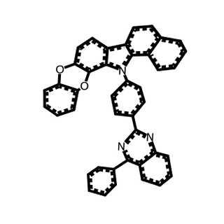 c1ccc(-c2nc(-c3ccc(-n4c5c6c(ccc5c5ccc7ccccc7c54)Oc4ccccc4O6)cc3)nc3ccccc23)cc1